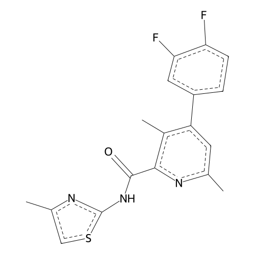 Cc1csc(NC(=O)c2nc(C)cc(-c3ccc(F)c(F)c3)c2C)n1